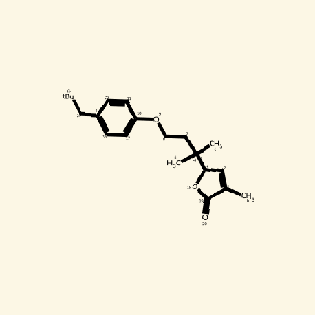 CC1=CC(C(C)(C)CCOc2ccc(CC(C)(C)C)cc2)OC1=O